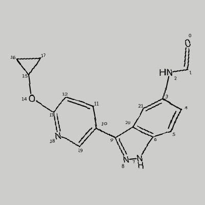 O=CNc1ccc2[nH]nc(-c3ccc(OC4CC4)nc3)c2c1